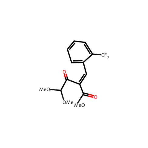 COC(=O)/C(=C/c1ccccc1C(F)(F)F)C(=O)C(OC)OC